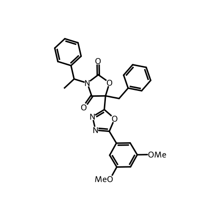 COc1cc(OC)cc(-c2nnc(C3(Cc4ccccc4)OC(=O)N(C(C)c4ccccc4)C3=O)o2)c1